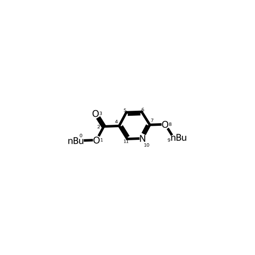 CCCCOC(=O)c1ccc(OCCCC)nc1